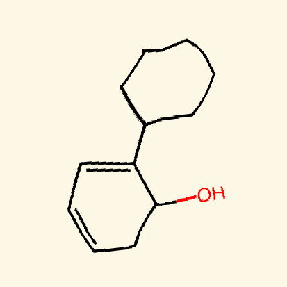 O[C]1CC=CC=C1C1CCCCC1